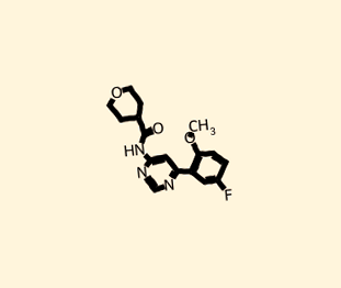 COc1ccc(F)cc1-c1cc(NC(=O)C2CCOCC2)ncn1